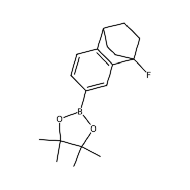 CC1(C)OB(c2ccc3c(c2)C2(F)CCC3CC2)OC1(C)C